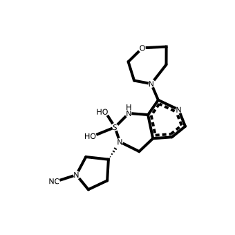 N#CN1CC[C@@H](N2Cc3ccnc(N4CCOCC4)c3NS2(O)O)C1